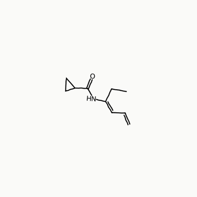 C=C/C=C(\CC)NC(=O)C1CC1